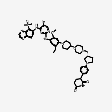 CCc1cc(Nc2ncc(Br)c(Nc3ccc4nccnc4c3P(C)(C)=O)n2)c(OC)cc1N1CCC(N2CCN(C[C@@H]3CCN(c4ccc(C5CCC(=O)NC5=O)cc4)C3)CC2)CC1